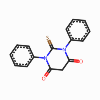 O=C1CC(=O)N(c2ccccc2)C(=S)N1c1ccccc1